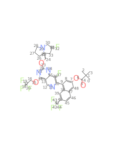 CC(C)(C)C(=O)Oc1cc(-c2ncc3c(OCC(F)(F)F)nc(OC[C@@]45CCCN4C[C@H](F)C5)nc3c2F)c2cc(C(F)(F)F)ccc2c1